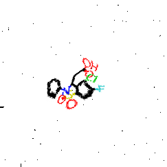 O=C(O)CC1c2c(ccc(F)c2Cl)S(=O)(=O)N1c1ccccc1